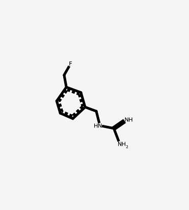 N=C(N)NCc1cccc(CF)c1